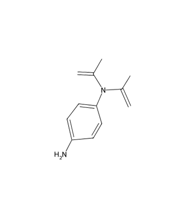 C=C(C)N(C(=C)C)c1ccc(N)cc1